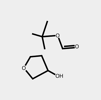 CC(C)(C)OC=O.OC1CCOC1